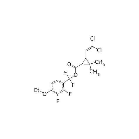 CCOc1ccc(C(F)(F)OC(=O)C2C(C=C(Cl)Cl)C2(C)C)c(F)c1F